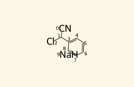 N#CC(Cl)c1ccccc1.[NaH]